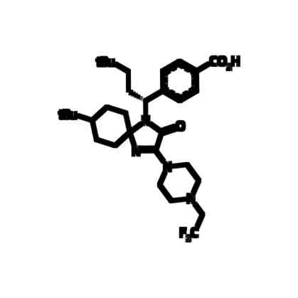 CC(C)(C)CC[C@H](c1ccc(C(=O)O)cc1)N1C(=O)C(N2CCN(CC(F)(F)F)CC2)=NC12CCC(C(C)(C)C)CC2